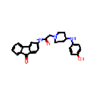 O=C(CN1CCC(Nc2ccc(O)cc2)CC1)Nc1ccc2c(c1)-c1ccccc1C2=O